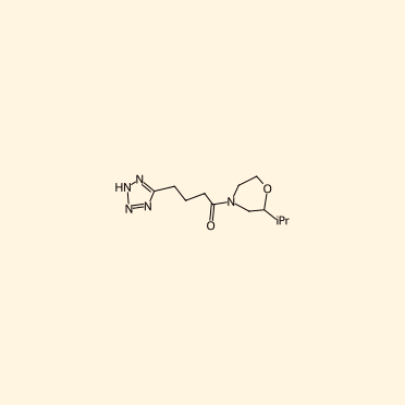 CC(C)C1CN(C(=O)CCCc2nn[nH]n2)CCO1